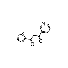 O=C(CC(=O)c1cccs1)c1cccnc1